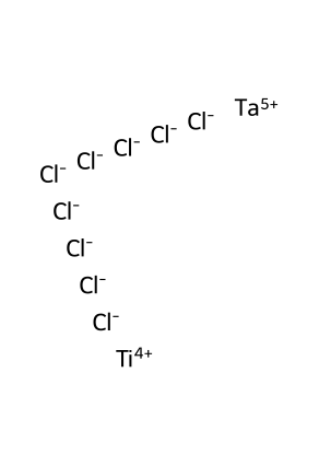 [Cl-].[Cl-].[Cl-].[Cl-].[Cl-].[Cl-].[Cl-].[Cl-].[Cl-].[Ta+5].[Ti+4]